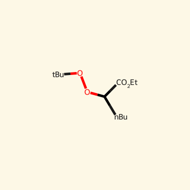 CCCCC(OOC(C)(C)C)C(=O)OCC